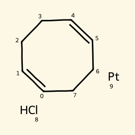 C1=CCCC=CCC1.Cl.[Pt]